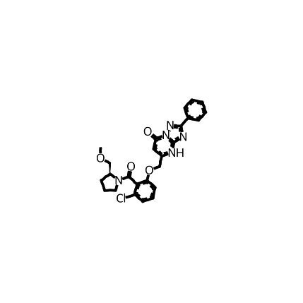 COC[C@@H]1CCCN1C(=O)c1c(Cl)cccc1OCc1cc(=O)n2nc(-c3ccccc3)nc2[nH]1